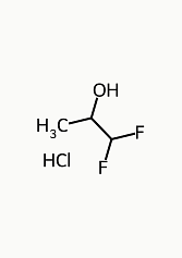 CC(O)C(F)F.Cl